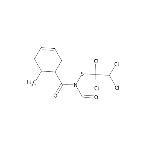 CC1CC=CCC1C(=O)N(C=O)SC(Cl)(Cl)C(Cl)Cl